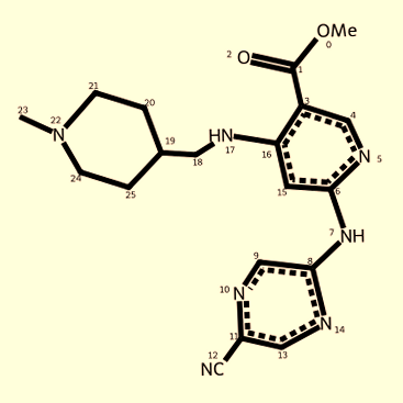 COC(=O)c1cnc(Nc2cnc(C#N)cn2)cc1NCC1CCN(C)CC1